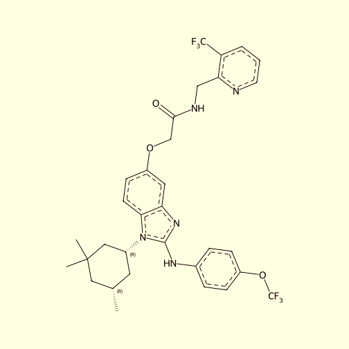 C[C@H]1C[C@@H](n2c(Nc3ccc(OC(F)(F)F)cc3)nc3cc(OCC(=O)NCc4ncccc4C(F)(F)F)ccc32)CC(C)(C)C1